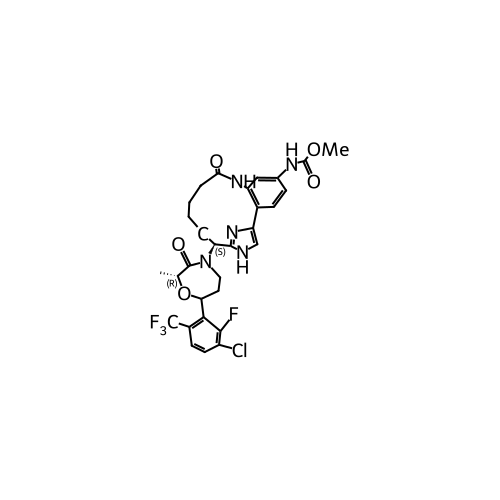 COC(=O)Nc1ccc2c(c1)NC(=O)CCCC[C@H](N1CCC(c3c(C(F)(F)F)ccc(Cl)c3F)O[C@H](C)C1=O)c1nc-2c[nH]1